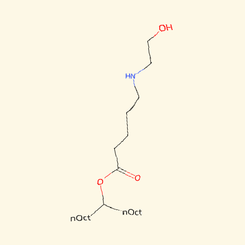 CCCCCCCCC(CCCCCCCC)OC(=O)CCCCNCCO